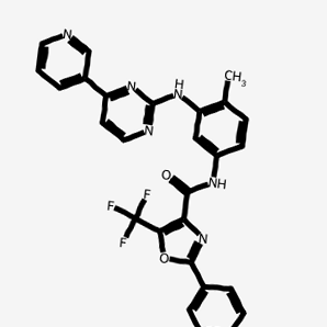 Cc1ccc(NC(=O)c2nc(-c3ccccc3)oc2C(F)(F)F)cc1Nc1nccc(-c2cccnc2)n1